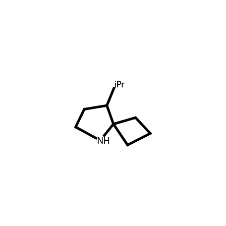 CC(C)C1CCNC12CCC2